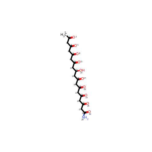 CC(=O)CC(=O)CC(=O)CC(=O)CC(O)CC(=O)CC(=O)CC(=O)CC(=O)CC(N)=O